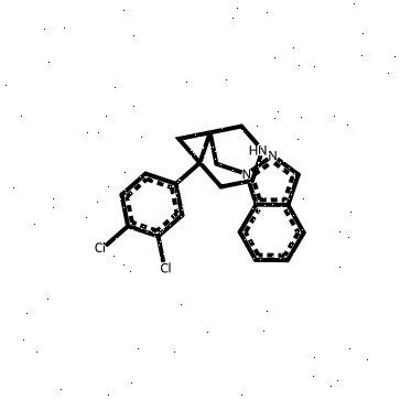 Clc1ccc(C23CCNCC2(Cn2ncc4ccccc42)C3)cc1Cl